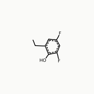 CCc1cc(F)cc(F)c1O